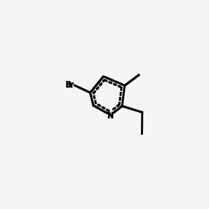 CCc1ncc(Br)cc1C